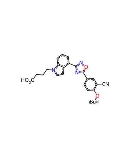 CC[C@H](C)Oc1ccc(-c2nc(-c3cccc4c3ccn4CCCC(=O)O)no2)cc1C#N